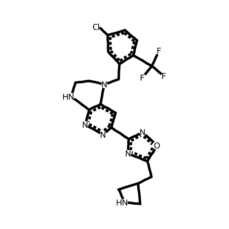 FC(F)(F)c1ccc(Cl)cc1CN1CCNc2nnc(-c3noc(CC4CNC4)n3)cc21